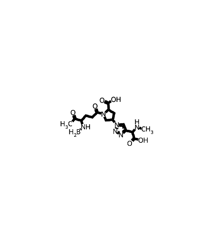 BNC(CCC(=O)N1CC(n2cc(C(NC)C(=O)O)nn2)CC1C(=O)O)C(C)=O